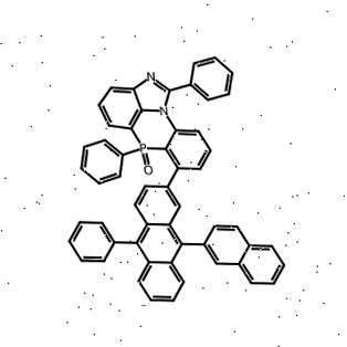 O=P1(c2ccccc2)c2c(-c3ccc4c(-c5ccccc5)c5ccccc5c(-c5ccc6ccccc6c5)c4c3)cccc2-n2c(-c3ccccc3)nc3cccc1c32